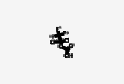 O=C(O)OC(Cl)(Cl)C(F)(F)F